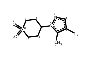 Cc1c(I)cnn1C1CCS(=O)(=O)CC1